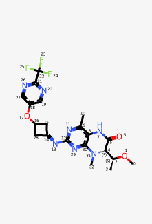 CO[C@@H](C)[C@H]1C(=O)Nc2c(C)nc(N=C3CC(Oc4cnc(C(F)(F)F)nc4)C3)nc2N1C